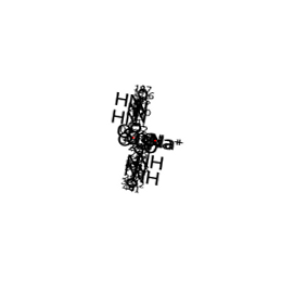 O=S(=O)([O-])c1cc(Nc2ncnc(Nc3ccccc3)n2)ccc1C=Cc1ccc(Nc2ncnc(Nc3ccccc3)n2)cc1S(=O)(=O)[O-].[Na+].[Na+]